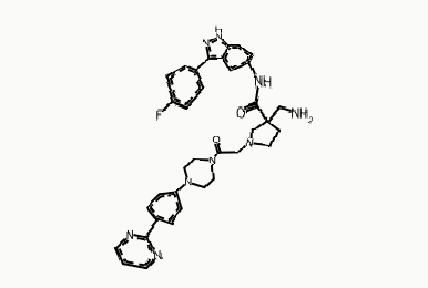 NCC1(C(=O)Nc2ccc3[nH]nc(-c4ccc(F)cc4)c3c2)CCN(CC(=O)N2CCN(c3ccc(-c4ncccn4)cc3)CC2)C1